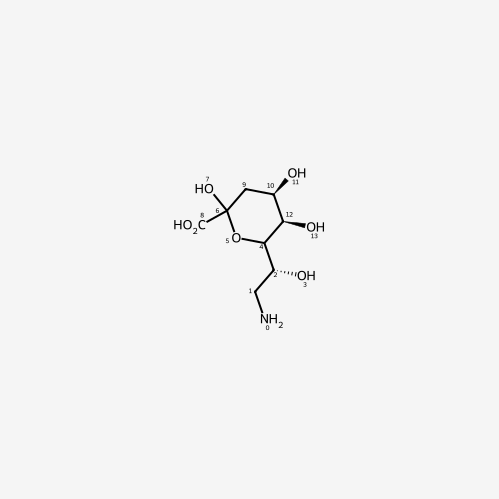 NC[C@@H](O)C1OC(O)(C(=O)O)C[C@@H](O)[C@H]1O